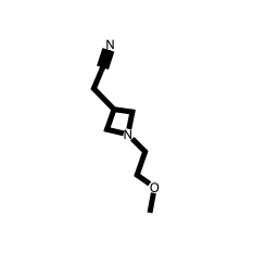 COCCN1CC(CC#N)C1